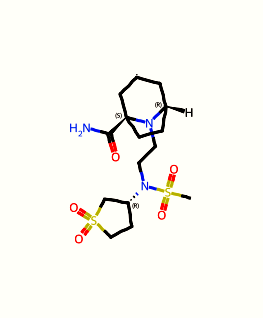 CS(=O)(=O)N(CCN1[C@@H]2C[CH]C[C@@]1(C(N)=O)CC2)[C@@H]1CCS(=O)(=O)C1